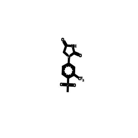 CS(=O)(=O)c1ccc(N2CC(=O)NC2=O)cc1C(F)(F)F